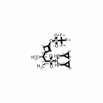 C[C@@H]([C@@H]1C=C(OS(=O)(=O)C(F)(F)F)C1)[C@@H](C)S(=O)(=O)N(PC1CC1)PC1CC1